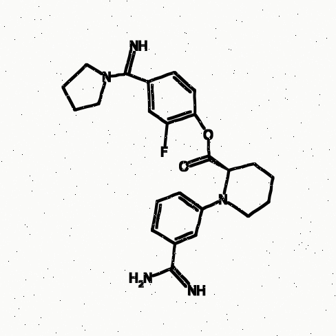 N=C(N)c1cccc(N2CCCC[C@@H]2C(=O)Oc2ccc(C(=N)N3CCCC3)cc2F)c1